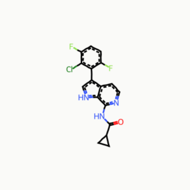 O=C(Nc1nccc2c(-c3c(F)ccc(F)c3Cl)c[nH]c12)C1CC1